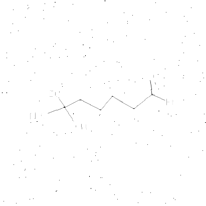 CCC(CC)CCCCC(C)(C)CC